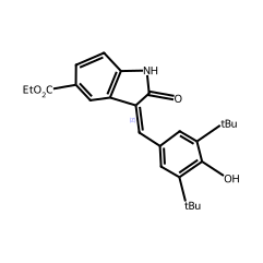 CCOC(=O)c1ccc2c(c1)/C(=C/c1cc(C(C)(C)C)c(O)c(C(C)(C)C)c1)C(=O)N2